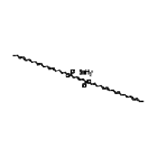 CCCCCCCCCCCCCCCCCCOC(=O)CCCCC(=O)OCCCCCCCCCCCCCCCCCC.[SnH2]